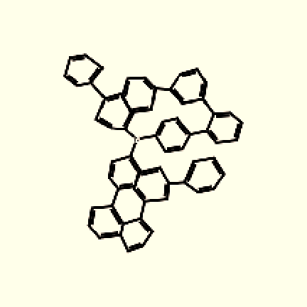 c1ccc(-c2ccc(N(c3ccc(-c4ccccc4-c4cccc(-c5ccccc5)c4)cc3)c3ccc(-c4cccc5cccc(-c6cccc(-c7ccccc7)c6)c45)cc3)cc2)cc1